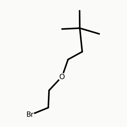 CC(C)(C)CCOCCBr